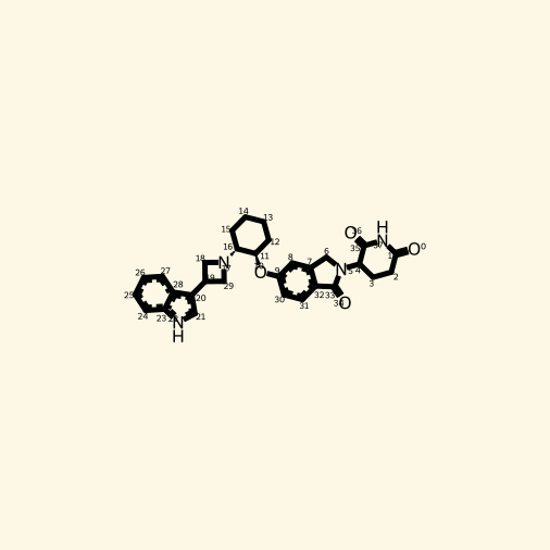 O=C1CCC(N2Cc3cc(O[C@@H]4CCCC[C@H]4N4CC(c5c[nH]c6ccccc56)C4)ccc3C2=O)C(=O)N1